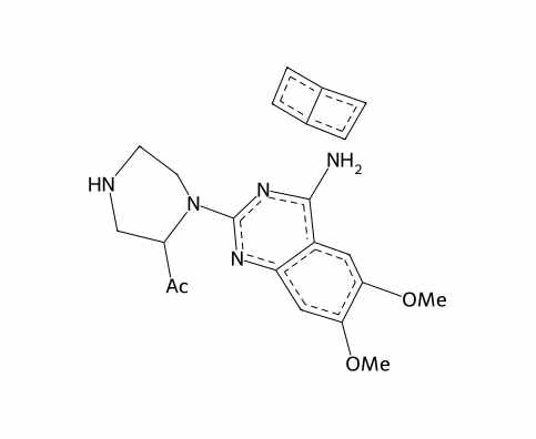 COc1cc2nc(N3CCNCC3C(C)=O)nc(N)c2cc1OC.c1cc2ccc1-2